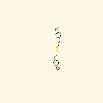 COc1ccc(C=CCSSCC=Cc2ccc(OC)cc2)cc1